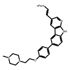 CCCCC/C=C/c1cnc2[nH]c3ccc(-c4ccc(OCCN5CCN(C)CC5)cc4)cc3c2c1